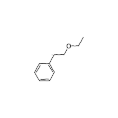 CCOC[CH]c1ccccc1